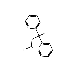 CC(N)CC(C)(c1ccccn1)c1ccccn1